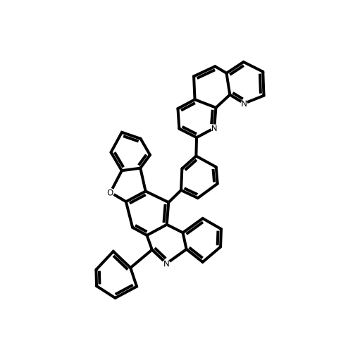 c1ccc(-c2nc3ccccc3c3c(-c4cccc(-c5ccc6ccc7cccnc7c6n5)c4)c4c(cc23)oc2ccccc24)cc1